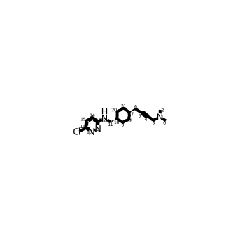 CN(C)CC#CC[C@H]1CC[C@H](CNc2ccc(Cl)nn2)CC1